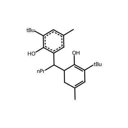 CCCC(c1cc(C)cc(C(C)(C)C)c1O)C1CC(C)=CC(C(C)(C)C)=C1O